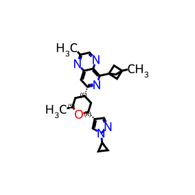 Cc1cnc2c(C34CC(C)(C3)C4)nc([C@H]3C[C@H](C)O[C@@H](c4cnn(C5CC5)c4)C3)cc2n1